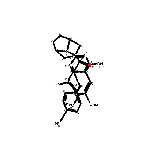 COc1cc2c(N)nc(N3C4CCC3CN(C(=O)CCc3ccc(C#N)cc3)C4)nc2c(F)c1OC